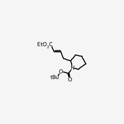 CCOC(=O)C=CCC1CCCCN1C(=O)OC(C)(C)C